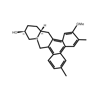 COc1cc2c3c(c4ccc(C)cc4c2cc1C)CN1C[C@@H](O)CC[C@@H]1C3